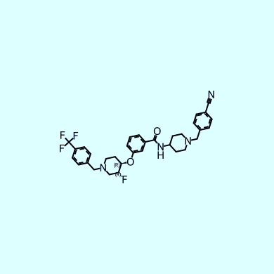 N#Cc1ccc(CN2CCC(NC(=O)c3cccc(O[C@@H]4CCN(Cc5ccc(C(F)(F)F)cc5)C[C@H]4F)c3)CC2)cc1